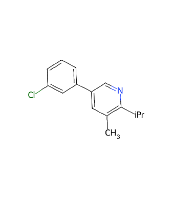 Cc1cc(-c2cccc(Cl)c2)cnc1C(C)C